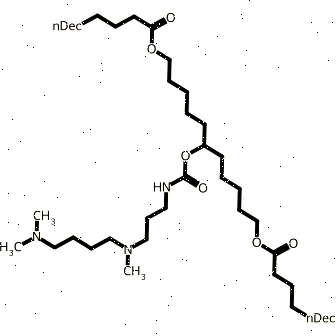 CCCCCCCCCCCCCC(=O)OCCCCCC(CCCCCOC(=O)CCCCCCCCCCCCC)OC(=O)NCCCN(C)CCCCN(C)C